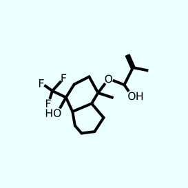 C=C(C)C(O)OC1(C)CCC(O)(C(F)(F)F)C2CCCCC21